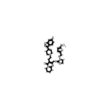 Cc1nc2n(c(=O)c1CCN1CCC(c3noc4cc(F)ccc34)CC1)CCCC2.O=C1OCCN1N=Cc1ccc([N+](=O)[O-])o1